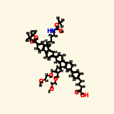 COCCOCCCC1(CCCOCCOC)c2cc(-c3ccc(CCCC(=O)O)cc3)ccc2-c2ccc(-c3ccc4c(c3)C(C)(CCCCNC(=O)OC(C)(C)C)c3cc(B5OC(C)(C)C(C)(C)O5)ccc3-4)cc21